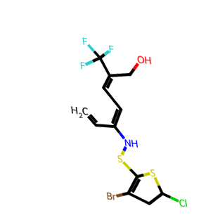 C=C/C(=C\C=C(/CO)C(F)(F)F)NSC1=C(Br)CC(Cl)S1